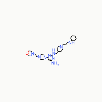 Nc1cc(N2CCN(CCN3CCOCC3)CC2)nc(NCC2CCN(CCCNC3CCCCC3)CC2)n1